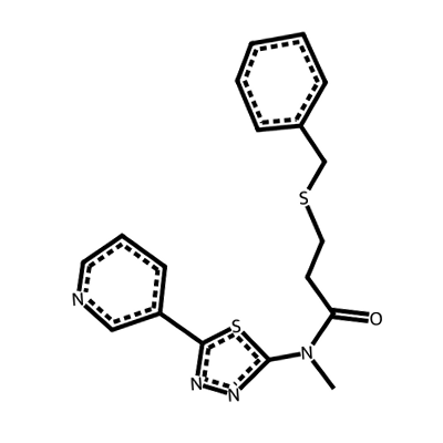 CN(C(=O)CCSCc1ccccc1)c1nnc(-c2cccnc2)s1